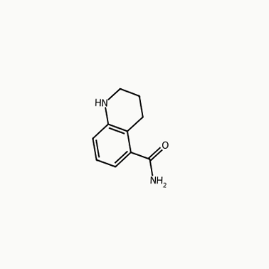 NC(=O)c1cccc2c1CCCN2